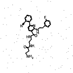 N#Cc1ccccc1-c1ccc(C(=O)NCCNC(=O)CCN)c(NCCc2cccc(F)c2)n1